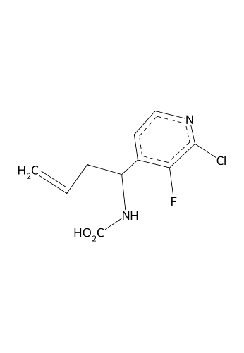 C=CCC(NC(=O)O)c1ccnc(Cl)c1F